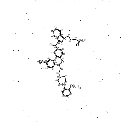 COc1ccccc1N1CCN(CCC(Oc2ccc(C(=O)c3cn(CCCC(=O)[O-])c4ccccc34)cc2)c2ccc(C)cc2)CC1.[K+]